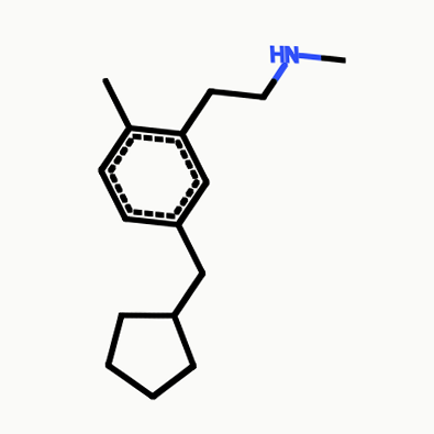 CNCCc1cc(CC2CCCC2)ccc1C